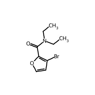 CCN(CC)C(=O)c1occc1Br